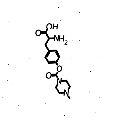 CN1CCN(C(=O)Oc2ccc(CC(N)C(=O)O)cc2)CC1